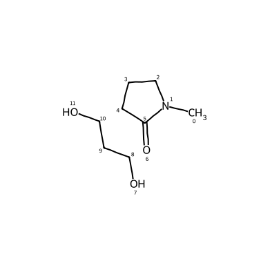 CN1CCCC1=O.OCCCO